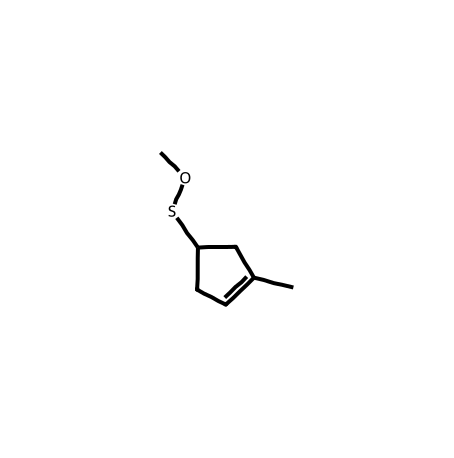 COSC1CC=C(C)C1